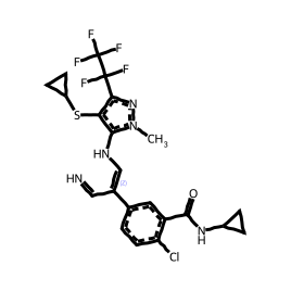 Cn1nc(C(F)(F)C(F)(F)F)c(SC2CC2)c1N/C=C(\C=N)c1ccc(Cl)c(C(=O)NC2CC2)c1